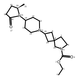 CCOC(=O)N1CCC2(CC(N3CCC(N4C(=O)CC[C@H]4C)CC3)C2)C1